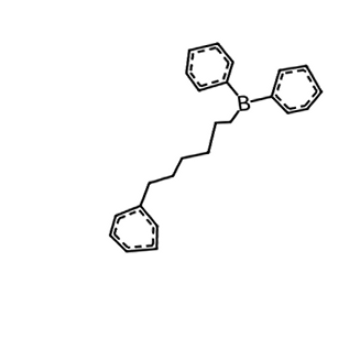 c1ccc(CCCCCCB(c2ccccc2)c2ccccc2)cc1